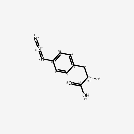 C[C@@H](Cc1ccc(N=[N+]=[N-])cc1)C(=O)O